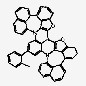 Fc1ccccc1-c1cc2c3c(c1)-n1c4cccc5cccc(c6cccc7oc(c1c76)B3c1oc3c6c(c7cccc8cccc(c87)n-2c16)=CCC3)c54